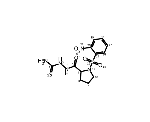 NC(=S)NNC(=O)C1CCCN1S(=O)(=O)c1ccccc1[N+](=O)[O-]